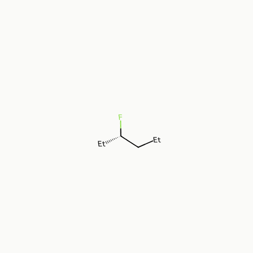 CCC[C@@H](F)CC